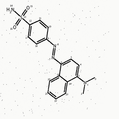 CN(C)c1ccc(N=Nc2ccc(S(N)(=O)=O)cc2)c2ccccc12